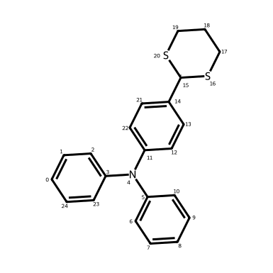 c1ccc(N(c2ccccc2)c2ccc([C]3SCCCS3)cc2)cc1